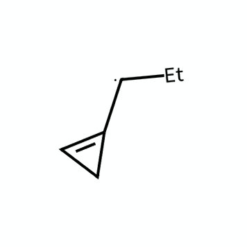 CC[CH]C1=CC1